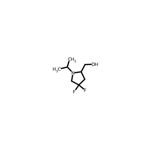 CC(C)N1CC(F)(F)CC1CO